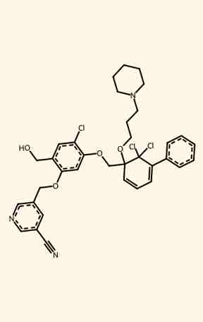 N#Cc1cncc(COc2cc(OCC3(OCCCN4CCCCC4)C=CC=C(c4ccccc4)C3(Cl)Cl)c(Cl)cc2CO)c1